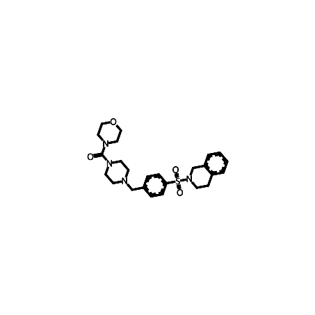 O=C(N1CCOCC1)N1CCN(Cc2ccc(S(=O)(=O)N3CCc4ccccc4C3)cc2)CC1